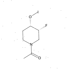 CC(=O)N1CC[C@H](OI)[C@H](F)C1